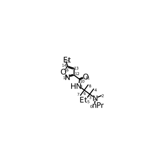 CCCN(C)C(C)(CC)C(C)(C)NC(=O)c1cc(CC)on1